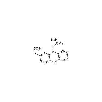 COCN1c2cc(CS(=O)(=O)O)ccc2Sc2nccnc21.[NaH]